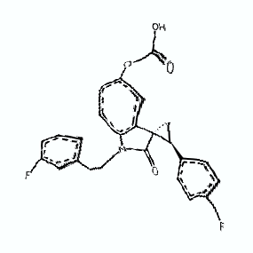 O=C(O)Oc1ccc2c(c1)[C@]1(C[C@H]1c1ccc(F)cc1)C(=O)N2Cc1cccc(F)c1